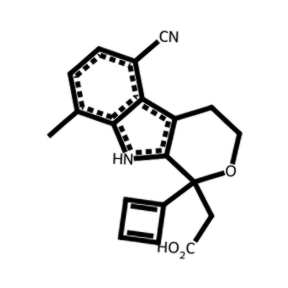 Cc1ccc(C#N)c2c3c([nH]c12)C(CC(=O)O)(C1=CC=C1)OCC3